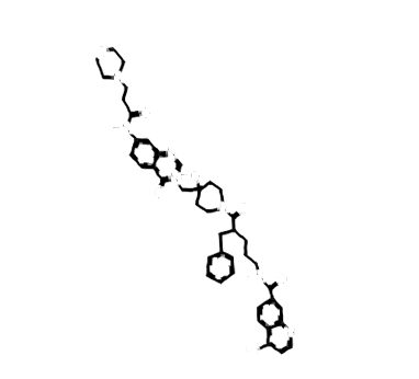 O=C(CCN1CCOCC1)Nc1ccc2c(=O)n(CC3(O)CCN(C(=O)C(CCCNC(=O)c4ccc5c(O)ccnc5c4)Cc4ccccc4)CC3)cnc2c1